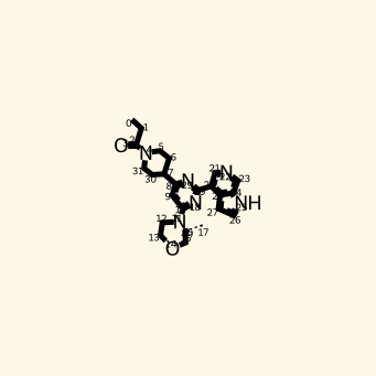 CCC(=O)N1CCC(c2cc(N3CCOC[C@H]3C)nc(-c3cncc4[nH]ccc34)n2)CC1